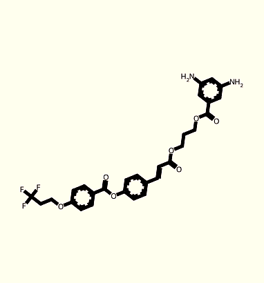 Nc1cc(N)cc(C(=O)OCCCOC(=O)C=Cc2ccc(OC(=O)c3ccc(OCCC(F)(F)F)cc3)cc2)c1